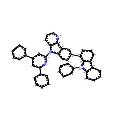 c1ccc(-c2cc(-c3ccccc3)nc(-n3c4ccc(-c5cccc6c7ccccc7n(-c7ccccc7)c56)cc4c4ncccc43)c2)cc1